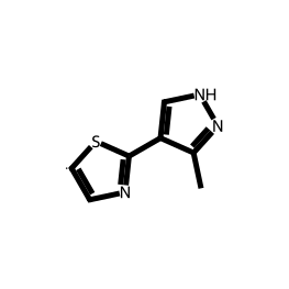 Cc1n[nH]cc1-c1nc[c]s1